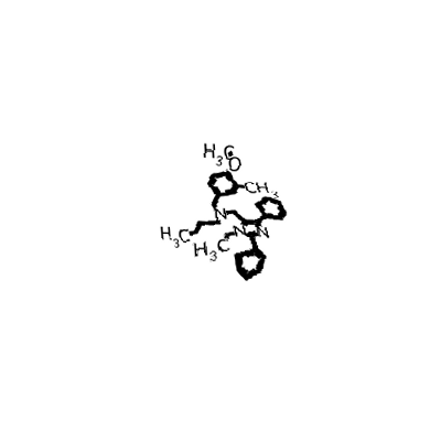 CCCCN(Cc1ccc(OC)c(C)c1)Cc1c(-c2ccccc2)nc(-c2ccccc2)n1CC